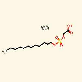 CCCCCCCCCCCCOS(=O)(=O)OCC(=O)O.[NaH].[NaH]